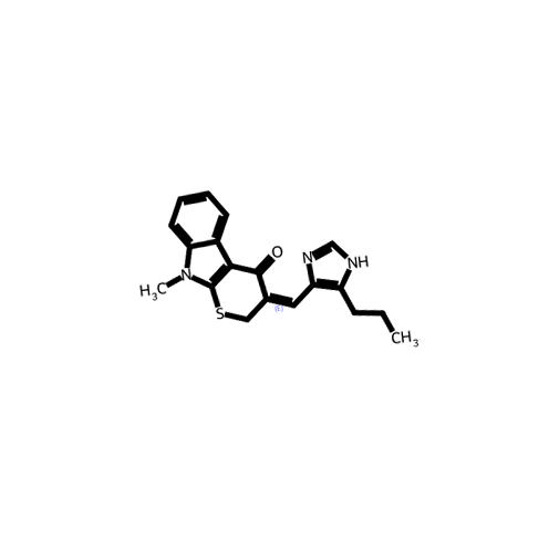 CCCc1[nH]cnc1/C=C1/CSc2c(c3ccccc3n2C)C1=O